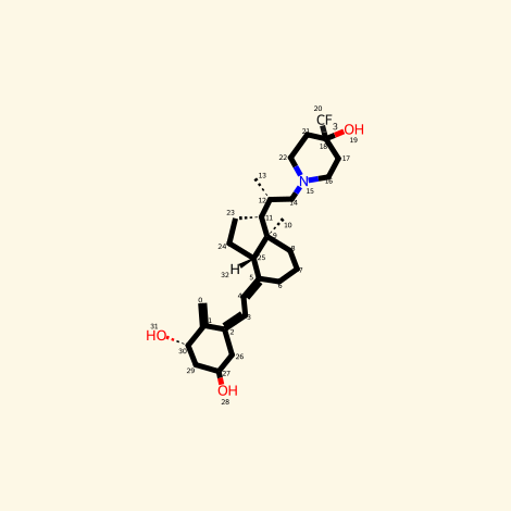 C=C1/C(=C\C=C2/CCC[C@]3(C)[C@@H]([C@H](C)CN4CCC(O)(C(F)(F)F)CC4)CC[C@@H]23)CC(O)C[C@@H]1O